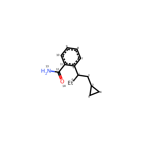 CCC(CC1CC1)c1ccccc1C(N)=O